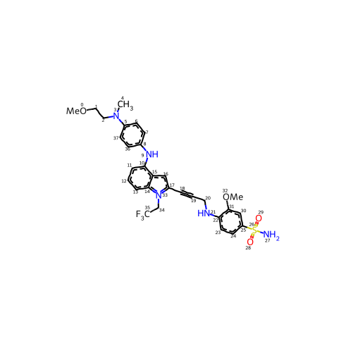 COCCN(C)c1ccc(Nc2cccc3c2cc(C#CCNc2ccc(S(N)(=O)=O)cc2OC)n3CC(F)(F)F)cc1